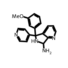 COc1cccc(C2(c3ccncc3)NC(N)c3ncccc32)c1